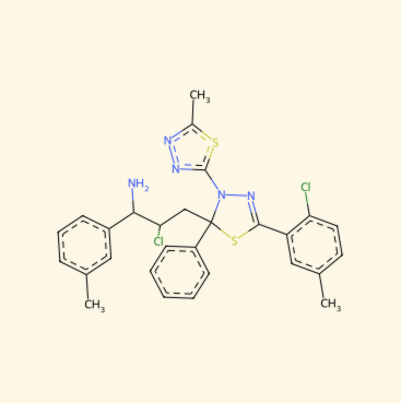 Cc1cccc(C(N)C(Cl)CC2(c3ccccc3)SC(c3cc(C)ccc3Cl)=NN2c2nnc(C)s2)c1